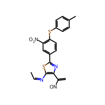 C=C(N=O)c1nc(-c2ccc(Sc3ccc(C)cc3)c([N+](=O)[O-])c2)sc1/N=C\C